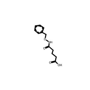 O=C(O)CCCC(=O)NOCc1ccccc1